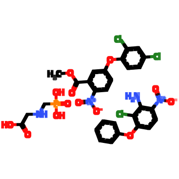 COC(=O)c1cc(Oc2ccc(Cl)cc2Cl)ccc1[N+](=O)[O-].Nc1c([N+](=O)[O-])ccc(Oc2ccccc2)c1Cl.O=C(O)CNCP(=O)(O)O